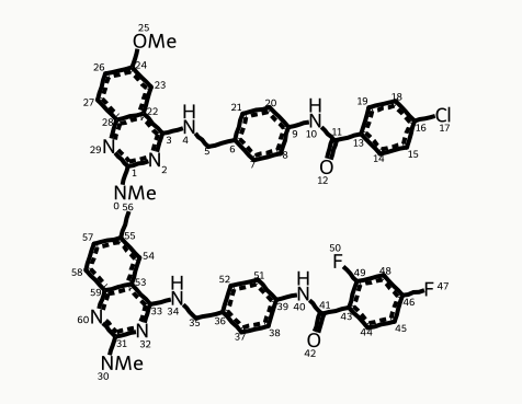 CNc1nc(NCc2ccc(NC(=O)c3ccc(Cl)cc3)cc2)c2cc(OC)ccc2n1.CNc1nc(NCc2ccc(NC(=O)c3ccc(F)cc3F)cc2)c2cc(C)ccc2n1